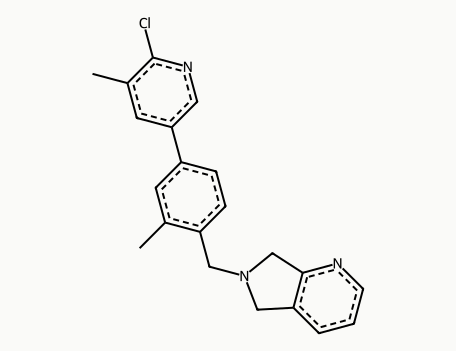 Cc1cc(-c2cnc(Cl)c(C)c2)ccc1CN1Cc2cccnc2C1